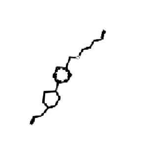 C=CCCCOCc1ccc(C2CCC(CC=C)CC2)cc1